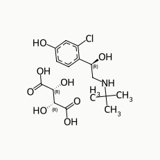 CC(C)(C)NC[C@H](O)c1ccc(O)cc1Cl.O=C(O)[C@H](O)[C@@H](O)C(=O)O